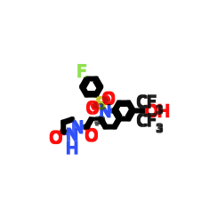 O=C1CCN(C(=O)C[C@@H]2CCc3cc(C(O)(C(F)(F)F)C(F)(F)F)ccc3N2S(=O)(=O)c2ccc(F)cc2)N1